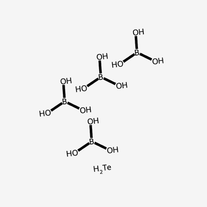 OB(O)O.OB(O)O.OB(O)O.OB(O)O.[TeH2]